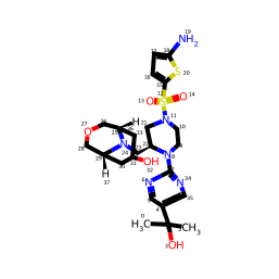 CC(C)(O)c1cnc(N2CCN(S(=O)(=O)c3ccc(N)s3)C[C@@H]2CN2[C@@H]3COC[C@H]2CC(O)C3)nc1